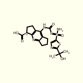 CC(C)(O)c1ncc(S(N)(=O)=NC(=O)Nc2c3c(nc4c2CC[C@@H]4C(=O)O)CCC3)s1